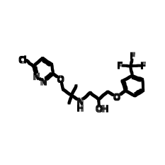 CC(C)(COc1ccc(Cl)nn1)NCC(O)COc1cccc(C(F)(F)F)c1